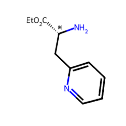 CCOC(=O)[C@H](N)Cc1ccccn1